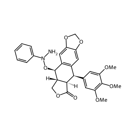 COc1cc([C@@H]2c3cc4c(cc3[C@H](ON(N)c3ccccc3)[C@H]3COC(=O)[C@H]23)OCO4)cc(OC)c1OC